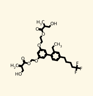 C=C(CO)C(=O)OCOc1cc(OCCOC(=O)C(C)CO)cc(-c2ccc(CCCCC(F)(F)F)cc2CC)c1